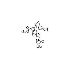 CC(C)(C)OC(=O)N1C[C@@H](N2CC3CC3c3cc(C#N)cc(-c4ccnc5cc(Cn6ncc(C(C)(C)C)cc6=O)sc45)c32)C[C@@H]1CO